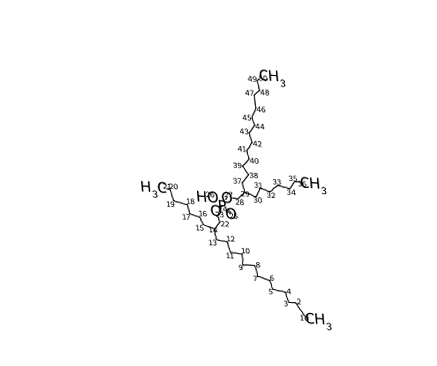 CCCCCCCCCCCCCCC(CCCCCCC)COP(=O)(O)OCC(CCCCCCC)CCCCCCCCCCCCCC